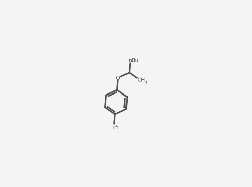 CCCCC(C)Oc1ccc(C(C)C)cc1